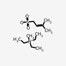 CC(C)=CCS(=O)(=O)[O-].CC[N+](C)(CC)CC